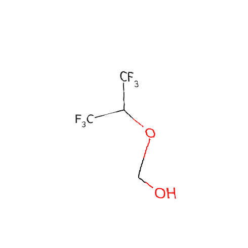 OCOC(C(F)(F)F)C(F)(F)F